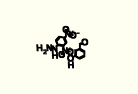 NNc1ccc([N+](=O)[O-])cc1[N+](=O)[O-].O=Cc1cccc(O)c1